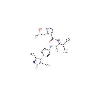 Cc1n[nH]c(C)c1-c1ccc(NC(=O)[C@@H](NC(=O)C2=CC=NC2CC(C)O)C(C2CC2)C2CC2)cc1